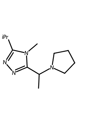 CC(C)c1nnc(C(C)N2CCCC2)n1C